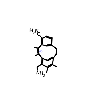 C/C1=C(\C)c2cc(c(C)c(C)c2CN)CCc2ccc(CN)c1c2